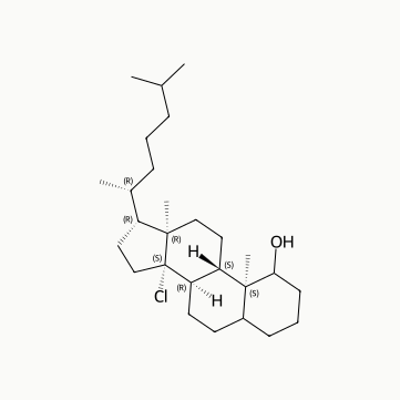 CC(C)CCC[C@@H](C)[C@H]1CC[C@]2(Cl)[C@@H]3CCC4CCCC(O)[C@]4(C)[C@H]3CC[C@]12C